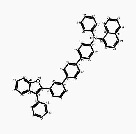 c1ccc(-c2c(-c3cccc(-c4ccc(-c5ccc(N(c6ccccc6)c6cccc7ccccc67)cc5)cc4)c3)oc3ccccc23)cc1